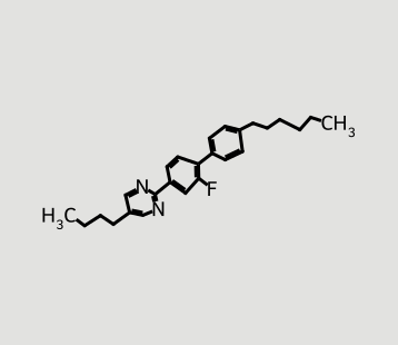 CCCCCCc1ccc(-c2ccc(-c3ncc(CCCC)cn3)cc2F)cc1